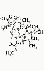 CCC(=O)Oc1ccc(C(C(C)C(C)OC(=O)OC(C)C(C)C)[C@H](N)C(=O)O)cc1OC(=O)CC